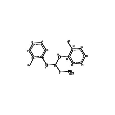 Cc1ccccc1OC(CP)Oc1ccccc1C